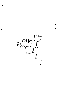 NCc1ccc(C(F)(F)F)cc1Sc1ccccc1C=O